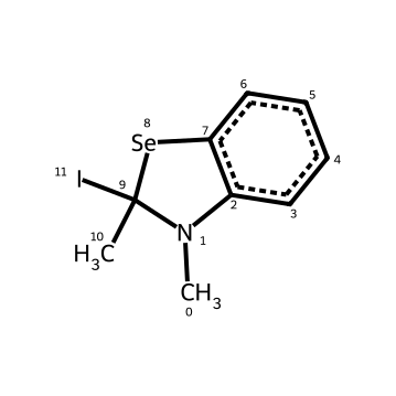 CN1c2ccccc2[Se]C1(C)I